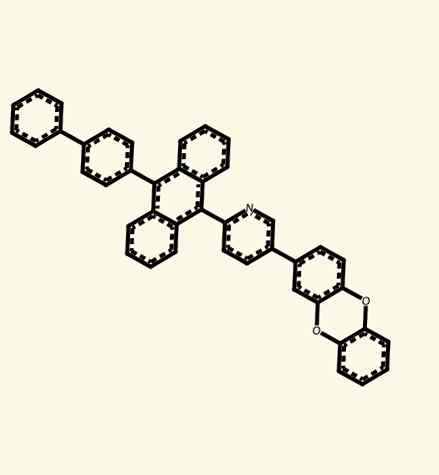 c1ccc(-c2ccc(-c3c4ccccc4c(-c4ccc(-c5ccc6c(c5)Oc5ccccc5O6)cn4)c4ccccc34)cc2)cc1